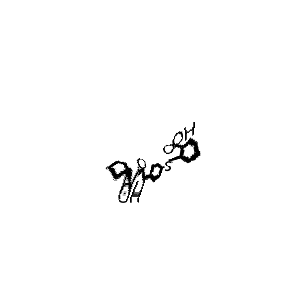 O=C(O)c1ccccc1CSc1ccc(CC(=O)N(O)C2CCCC2)cc1